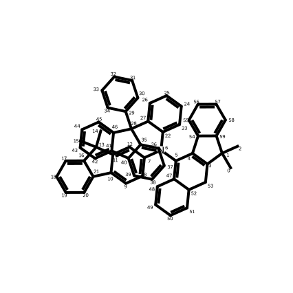 CC1(C)C2=C(C(N(c3ccc4c(c3)C(C)(C)c3ccccc3-4)c3ccccc3C3(c4ccccc4)c4ccccc4-c4ccccc43)=C3C=CC=CC3C2)c2ccccc21